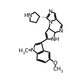 COc1ccc2c(c1)c(C1=CC3C(N=Cc4cnc([C@@H]5CCNC5)n43)N1)cn2C